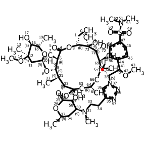 CC[C@H]1OC(=O)[C@H](C)[C@@H](O[C@H]2C[C@@](C)(OC)[C@@H](O)[C@H](C)O2)[C@H](C)[C@@H](O[C@@H]2O[C@H](C)C[C@H](N(C)CCc3cn([C@H](CF)[C@H](OC)c4ccc(S(=O)(=O)N(C)C)cc4)nn3)[C@H]2O)[C@](C)(O)C[C@@H](C)CN(C)[C@H](C)[C@@H](O)[C@]1(C)O